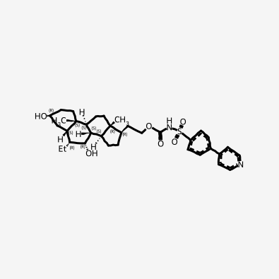 CC[C@H]1[C@@H](O)[C@@H]2[C@H](CC[C@]3(C)[C@@H](CCOC(=O)NS(=O)(=O)c4ccc(-c5ccncc5)cc4)CC[C@@H]23)[C@@]2(C)CC[C@@H](O)C[C@@H]12